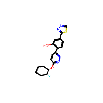 Oc1cc(-c2nncs2)ccc1-c1ccc(O[C@H]2CCCC[C@H]2F)nn1